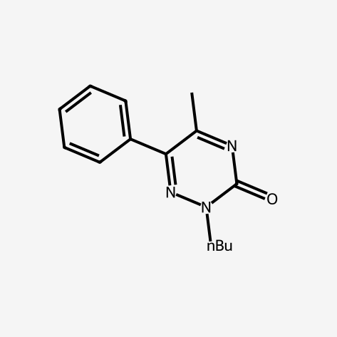 CCCCn1nc(-c2ccccc2)c(C)nc1=O